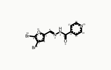 O=C(N/N=C/c1cc(Br)c(Br)o1)c1ccncc1